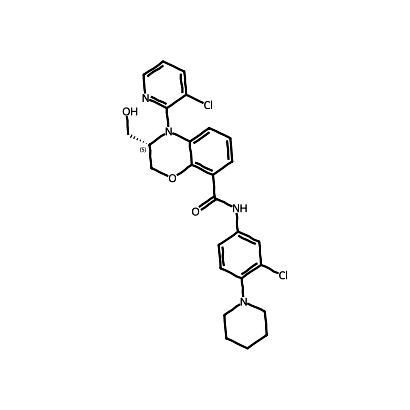 O=C(Nc1ccc(N2CCCCC2)c(Cl)c1)c1cccc2c1OC[C@H](CO)N2c1ncccc1Cl